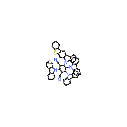 N#Cc1c(-n2c3ccccc3c3ccccc32)c(C#N)c(-n2c3ccccc3c3cc4c(cc32)sc2ccccc24)c(-n2c3ccccc3c3ccccc32)c1-n1c2ccccc2c2ccccc21